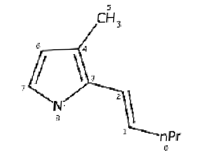 CCCC=CC1=C(C)C=C[N]1